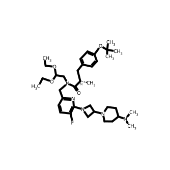 CCOC(CN(Cc1ccc(F)c(N2CC(N3CCC(N(C)C)CC3)C2)n1)C(=O)[C@@H](C)Cc1ccc(OC(C)(C)C)cc1)OCC